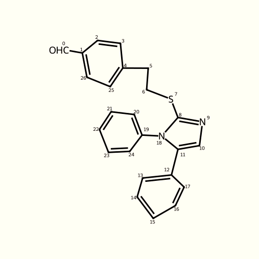 O=Cc1ccc(CCSc2ncc(-c3ccccc3)n2-c2ccccc2)cc1